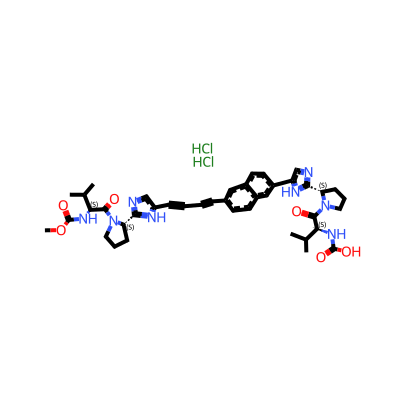 COC(=O)N[C@H](C(=O)N1CCC[C@H]1c1ncc(C#CC#Cc2ccc3cc(-c4cnc([C@@H]5CCCN5C(=O)[C@@H](NC(=O)O)C(C)C)[nH]4)ccc3c2)[nH]1)C(C)C.Cl.Cl